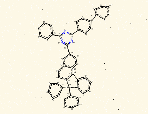 c1ccc(-c2ccc(-c3nc(-c4ccccc4)nc(-c4ccc5c6c(ccc5c4)C(c4ccccc4)(c4ccccc4)c4ccccc4-6)n3)cc2)cc1